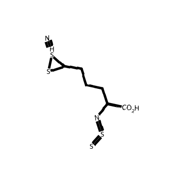 N#[SH]1SC1CCCC(N=S=S)C(=O)O